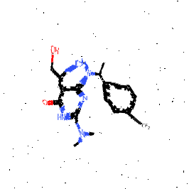 CC(c1ccc(C(F)(F)F)cc1)n1nc(CO)c2c(=O)[nH]c(N(C)C)nc21